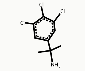 CC(C)(N)c1cc(Cl)c(Cl)c(Cl)c1